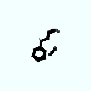 C=CCOc1ccccc1.SS